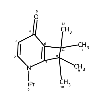 CC(C)n1ccc(=O)c2c1C(C)(C)C2(C)C